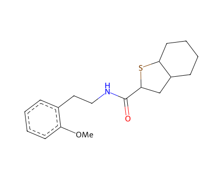 COc1ccccc1CCNC(=O)C1CC2CCCCC2S1